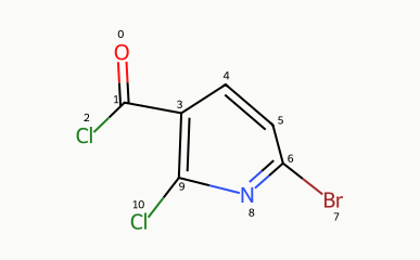 O=C(Cl)c1ccc(Br)nc1Cl